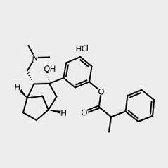 CC(C(=O)Oc1cccc([C@@]2(O)C[C@@H]3CC[C@@H](C3)[C@@H]2CN(C)C)c1)c1ccccc1.Cl